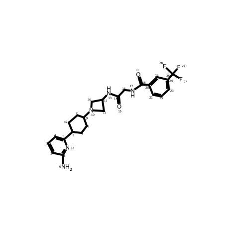 Nc1cccc(C2CCC(N3CC(NC(=O)CNC(=O)c4cccc(C(F)(F)F)c4)C3)CC2)n1